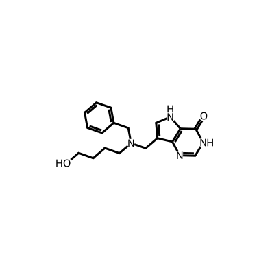 O=c1[nH]cnc2c(CN(CCCCO)Cc3ccccc3)c[nH]c12